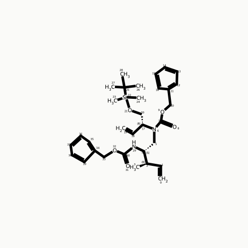 C=C[C@@H](C)[C@@H](CN(C(=O)OCc1ccccc1)[C@H](C=C)CO[Si](C)(C)C(C)(C)C)NC(=O)OCc1ccccc1